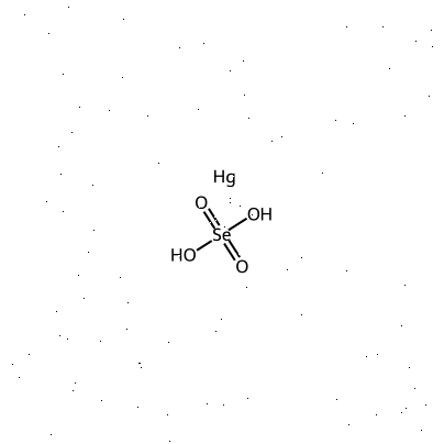 O=[Se](=O)(O)O.[Hg]